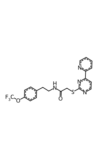 O=C(CSc1nccc(-c2ccccn2)n1)NCCc1ccc(OC(F)(F)F)cc1